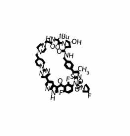 Cc1ncsc1-c1ccc(CNC(=O)[C@@H]2C[C@@H](O)CN2C(=O)[C@@H](NC(=O)CN2CCN(CC3CCN(c4ncc(-c5cnc6[nH]cc(C(=O)c7c(F)ccc(NS(=O)(=O)N8CC[C@@H](F)C8)c7F)c6c5)cn4)CC3)CC2)C(C)(C)C)cc1